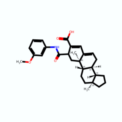 COc1cccc(NC(=O)C2C[C@@]3(C)C(=CC[C@H]4[C@@H]5CCC[C@@]5(C)CC[C@@H]43)C=C2C(=O)O)c1